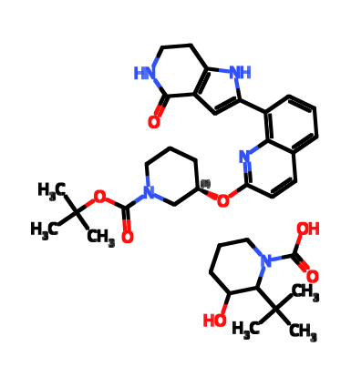 CC(C)(C)C1C(O)CCCN1C(=O)O.CC(C)(C)OC(=O)N1CCC[C@@H](Oc2ccc3cccc(-c4cc5c([nH]4)CCNC5=O)c3n2)C1